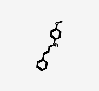 COc1ccc(NCC=Cc2ccccc2)cc1